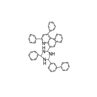 c1ccc(-c2cccc(C3NC(c4ccccc4)NC(c4cc5ccccc5c5c(-c6ccccc6)cc(-c6ccccc6)nc45)N3)c2)cc1